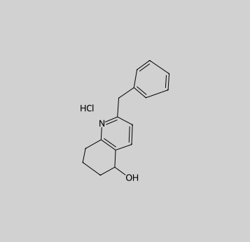 Cl.OC1CCCc2nc(Cc3ccccc3)ccc21